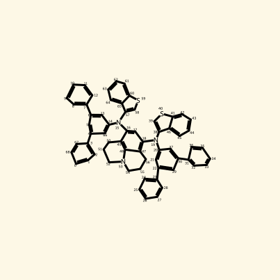 c1ccc(-c2cc(-c3ccccc3)cc(N(c3cc(N(c4cc(-c5ccccc5)cc(-c5ccccc5)c4)c4csc5ccccc45)c4c5c3CCCN5CCC4)c3csc4ccccc34)c2)cc1